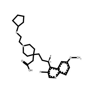 COc1ccc2ncc(F)c([C@H](F)CCC3(CC(=O)O)CCN(CCSC4CCCC4)CC3)c2c1